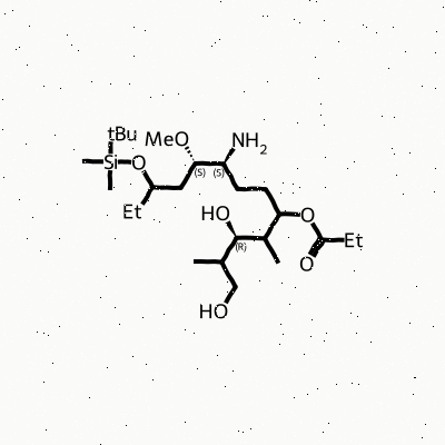 CCC(=O)OC(CC[C@H](N)[C@H](CC(CC)O[Si](C)(C)C(C)(C)C)OC)C(C)[C@H](O)C(C)CO